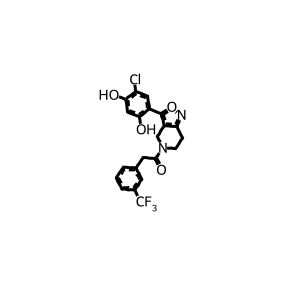 O=C(Cc1cccc(C(F)(F)F)c1)N1CCc2noc(-c3cc(Cl)c(O)cc3O)c2C1